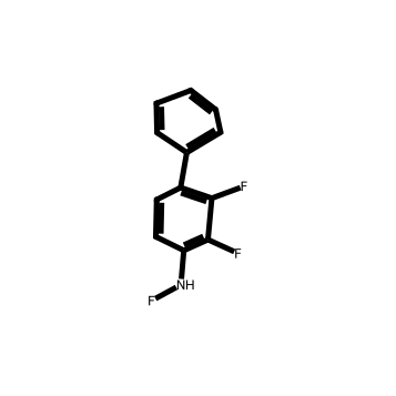 FNc1ccc(-c2ccccc2)c(F)c1F